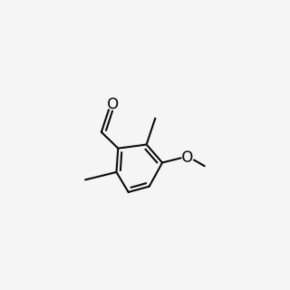 COc1ccc(C)c(C=O)c1C